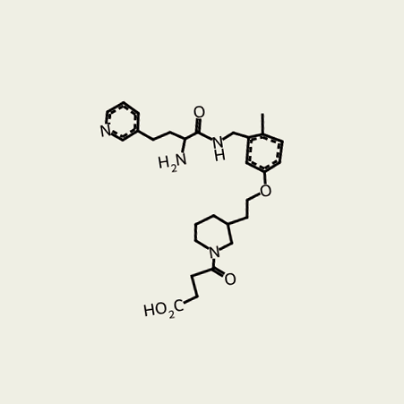 Cc1ccc(OCCC2CCCN(C(=O)CCC(=O)O)C2)cc1CNC(=O)C(N)CCc1cccnc1